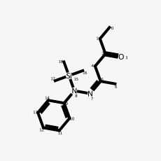 CCC(=O)CC(C)=NN(c1ccccc1)[Si](C)(C)C